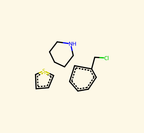 C1CCNCC1.ClCc1ccccc1.c1ccsc1